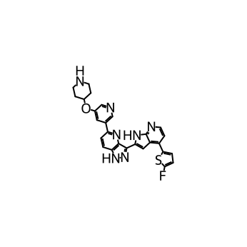 Fc1ccc(-c2ccnc3[nH]c(-c4n[nH]c5ccc(-c6cncc(OC7CCNCC7)c6)nc45)cc23)s1